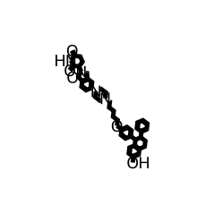 O=C1CCC(N2Cc3cc(N4CCN(CCCCCOc5ccc(C6c7ccc(O)cc7CCC6c6ccccc6)cc5)CC4)ccc3C2=O)C(=O)N1